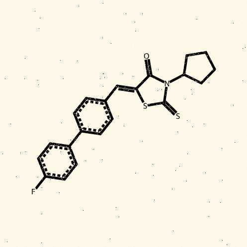 O=C1C(=Cc2ccc(-c3ccc(F)cc3)cc2)SC(=S)N1C1CCCC1